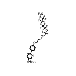 CCCCCCCc1cnc(-c2ccc(OCCCOCC(F)(F)OC(F)(F)C(F)(F)OC(F)(F)C(F)(F)OC(F)(F)F)cc2)nc1